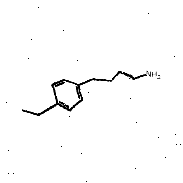 CCc1ccc(CCCCN)cc1